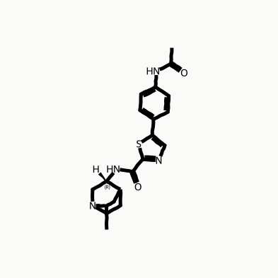 CC(=O)Nc1ccc(-c2cnc(C(=O)N[C@H]3CN4CCC3CC4C)s2)cc1